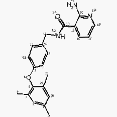 Cc1cc(C)c(Oc2ccc(CNC(=O)c3cccnc3N)cc2)c(C)c1